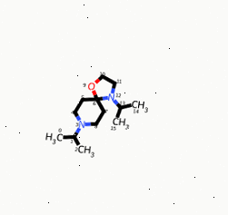 CC(C)N1CCC2(CC1)OCCN2C(C)C